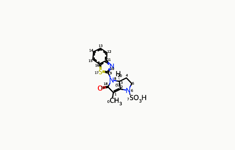 CC1=C2[C@H](CCN2S(=O)(=O)O)N(c2nc3ccccc3s2)C1=O